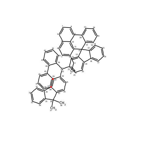 CCc1ccc2cccc3c2c1C1(c2ccccc2-c2ccc(N(c4ccc5c(c4)-c4ccccc4C5(C)C)c4ccccc4-c4ccccc4)cc21)c1ccccc1-3